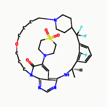 C[C@H]1Nc2ncnc3c2cc(N2CCS(=O)(=O)CC2)c(=O)n3CCCOCCCCN2CCC(CC2)C(F)(F)c2cccc1c2F